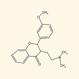 COc1cccc(C2Oc3ccccc3C(=O)C2CCN(C)C)c1